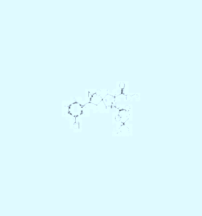 COC(=O)[C@@H]1CC2(CC(c3cccc(Cl)c3)=NO2)CN1C(=O)OC(C)(C)C